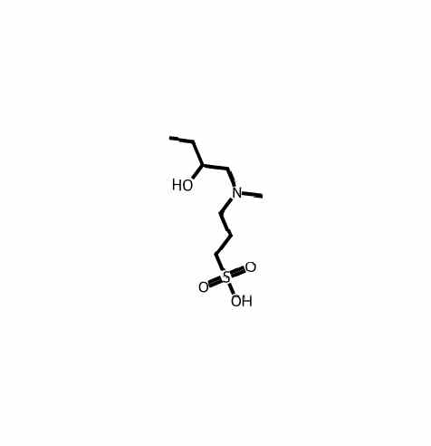 CCC(O)CN(C)CCCS(=O)(=O)O